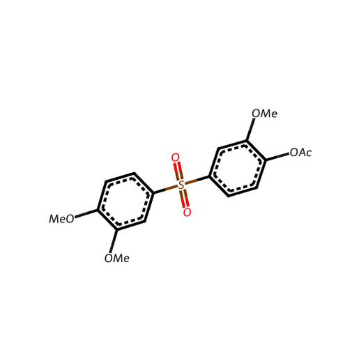 COc1ccc(S(=O)(=O)c2ccc(OC(C)=O)c(OC)c2)cc1OC